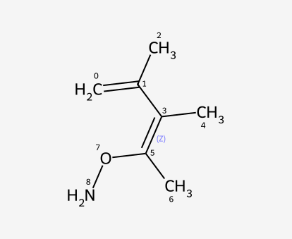 C=C(C)/C(C)=C(/C)ON